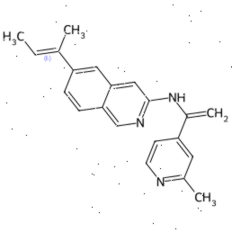 C=C(Nc1cc2cc(/C(C)=C/C)ccc2cn1)c1ccnc(C)c1